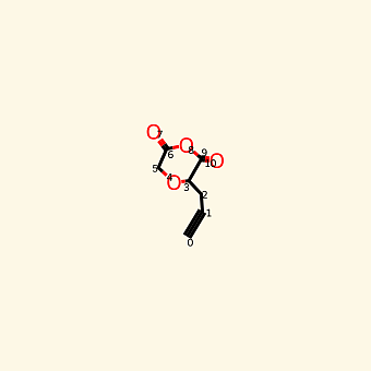 C#CCC1OCC(=O)OC1=O